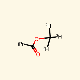 [2H]C([2H])([2H])OC(=O)C(C)C